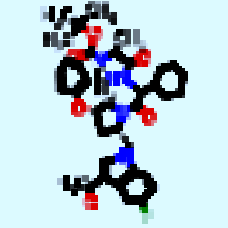 CC(=O)c1cn(C[C@@H]2C[C@H](Oc3ccccc3)CN2C(=O)[C@@H](NC(=O)[C@H](C)N(C)C(=O)OC(C)(C)C)C2CCCCC2)c2ccc(F)cc12